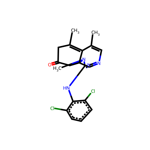 CC1=CN=C2N=C(Nc3c(Cl)cccc3Cl)N(C)C23CC(=O)CC(C)=C13